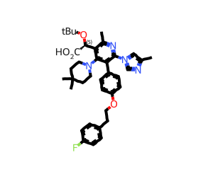 Cc1cn(-c2nc(C)c([C@H](OC(C)(C)C)C(=O)O)c(N3CCC(C)(C)CC3)c2-c2ccc(OCCc3ccc(F)cc3)cc2)cn1